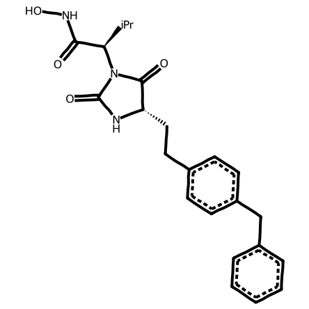 CC(C)[C@H](C(=O)NO)N1C(=O)N[C@@H](CCc2ccc(Cc3ccccc3)cc2)C1=O